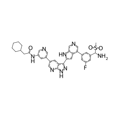 CS(=O)(=O)C(N)c1cc(F)cc(-c2cncc3[nH]c(-c4n[nH]c5ncc(-c6cncc(NC(=O)CC7CCCCC7)c6)cc45)cc23)c1